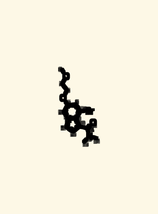 COCCOc1cc(Br)c2c(C(=O)N(C)C)ccn2c1